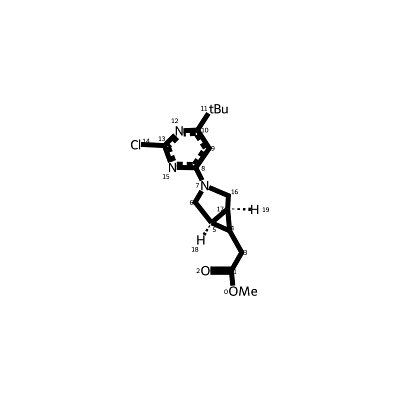 COC(=O)CC1[C@H]2CN(c3cc(C(C)(C)C)nc(Cl)n3)C[C@@H]12